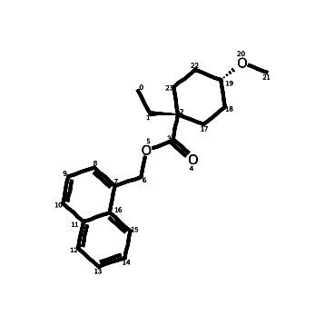 CC[C@]1(C(=O)OCc2cccc3ccccc23)CC[C@@H](OC)CC1